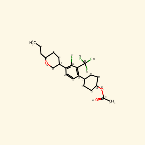 CCCC1CCC(c2ccc(C3CCC(OC(C)=O)CC3)c(C(F)(F)F)c2F)CO1